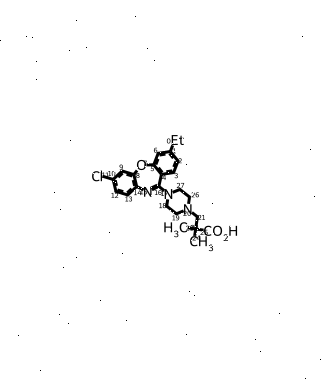 CCc1ccc2c(c1)Oc1cc(Cl)ccc1N=C2N1CCN(CC(C)(C)C(=O)O)CC1